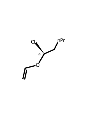 C=CO[C@@H](Cl)CCCC